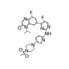 CC(C)n1c(=O)cnc2c(F)cc(-c3nc(Nc4ccc(N5CCN(S(C)(=O)=O)CC5)cn4)ncc3F)cc21